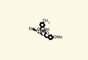 CCOCOC[C@H](C[C@H](Cc1ccc(OC)cc1)C(=O)NO)NC(=O)c1ccc(C)cc1